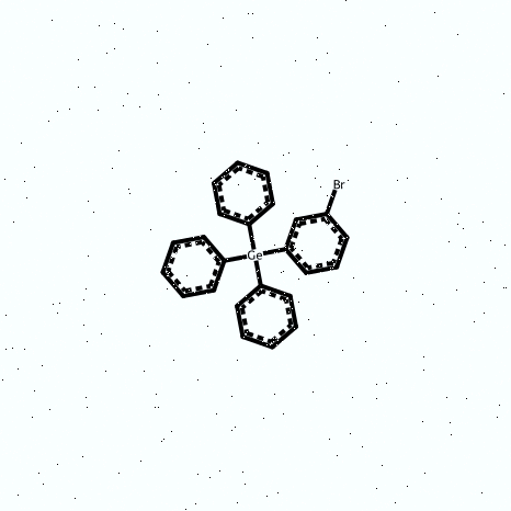 Brc1ccc[c]([Ge]([c]2ccccc2)([c]2ccccc2)[c]2ccccc2)c1